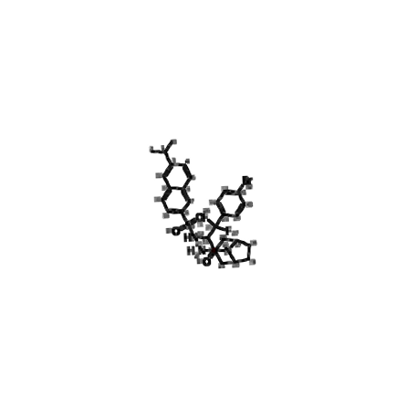 CC(C)c1ccc2cc(S(=O)(=O)NC(C(=O)N3C4CCC3CC(N)C4)C(F)(F)c3ccc(Br)cc3)ccc2c1